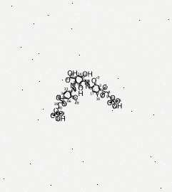 COc1cc(S(=O)(=O)CCOS(=O)(=O)O)c(C)cc1N=Nc1c(O)cc(C(=O)O)c(N=Nc2ccc(S(=O)(=O)CCOS(=O)(=O)O)cc2OC)c1O